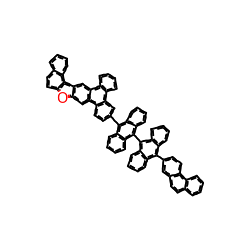 c1ccc2c(c1)ccc1cc(-c3c4ccccc4c(-c4c5ccccc5c(-c5ccc6c(c5)c5ccccc5c5cc7c(cc65)oc5ccc6ccccc6c57)c5ccccc45)c4ccccc34)ccc12